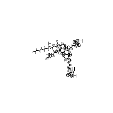 CCCCCCCCNCCC[C@@H](C)[C@H]1CC[C@H]2C3C(C[C@H](OCCCNCC)[C@]12C)[C@@]1(C)CC[C@@H](OCCCNCS(=O)(=O)O)C[C@H]1C[C@H]3OCCCS(=O)(=O)O